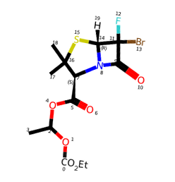 CCOC(=O)OC(C)OC(=O)[C@@H]1N2C(=O)C(F)(Br)[C@H]2SC1(C)C